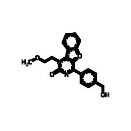 COCCn1c(=O)nc(-c2ccc(CO)cc2)c2oc3ccccc3c21